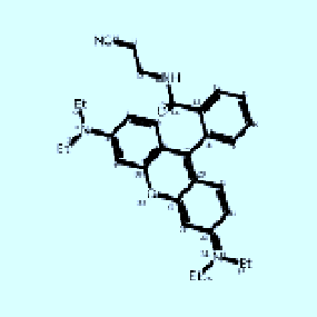 CCN(CC)c1ccc2c(-c3ccccc3C(=O)NCCC#N)c3ccc(=[N+](CC)CC)cc-3oc2c1